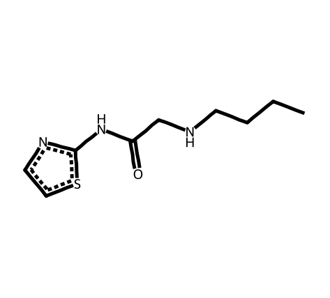 CCCCNCC(=O)Nc1nccs1